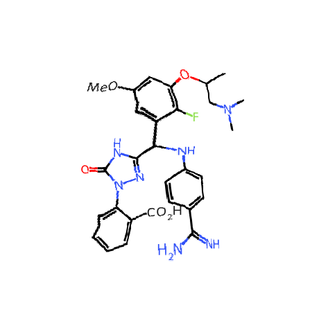 COc1cc(OC(C)CN(C)C)c(F)c(C(Nc2ccc(C(=N)N)cc2)c2nn(-c3ccccc3C(=O)O)c(=O)[nH]2)c1